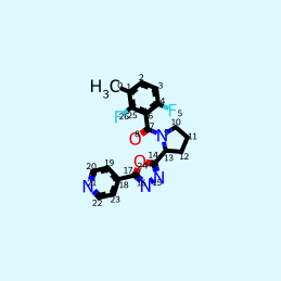 Cc1ccc(F)c(C(=O)N2CCCC2c2nnc(-c3ccncc3)o2)c1F